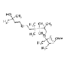 COCC(C)C(C)(C)OCC(C)C(C)(C)C(C)(C)CCOCCC(C)(C)O